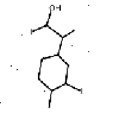 CC1CCC(C(C)C(O)I)CC1I